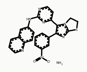 N.O=[N+]([O-])c1cccc(-c2nc3n(c2-c2ccnc(Nc4ccc5ncccc5c4)n2)CCS3)c1